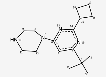 CC(C)(C)c1cc(N2CCNCC2)nc(C2CCC2)n1